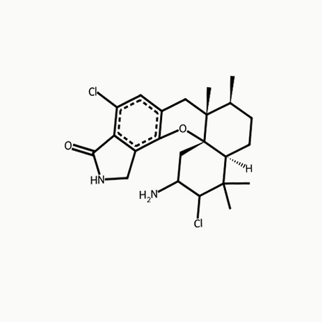 C[C@H]1CC[C@H]2C(C)(C)C(Cl)C(N)C[C@]23Oc2c(cc(Cl)c4c2CNC4=O)C[C@]13C